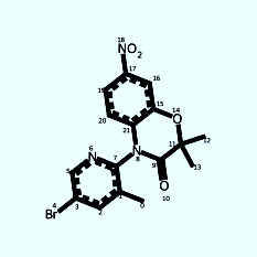 Cc1cc(Br)cnc1N1C(=O)C(C)(C)Oc2cc([N+](=O)[O-])ccc21